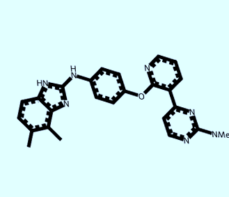 CNc1nccc(-c2cccnc2Oc2ccc(Nc3nc4c(C)c(C)ccc4[nH]3)cc2)n1